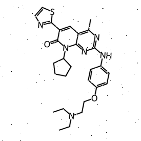 CCN(CC)CCOc1ccc(Nc2nc(C)c3cc(-c4nccs4)c(=O)n(C4CCCC4)c3n2)cc1